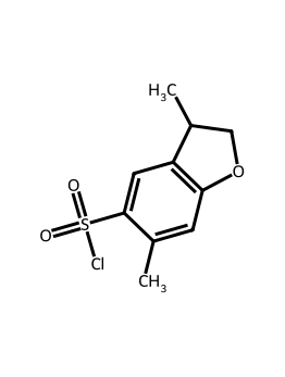 Cc1cc2c(cc1S(=O)(=O)Cl)C(C)CO2